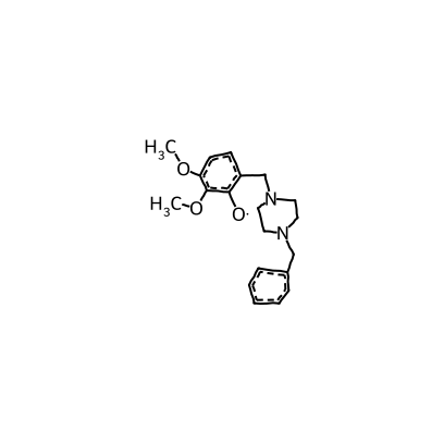 COc1ccc(CN2CCN(Cc3ccccc3)CC2)c([O])c1OC